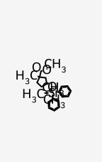 COC(=O)C1(C)CCC(O[Si](c2ccccc2)(c2ccccc2)C(C)(C)C)C1